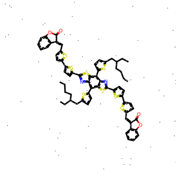 CCCCC(CC)Cc1ccc(-c2c3nc(-c4ccc(-c5ccc(/C=C6/C(=O)Oc7ccccc76)s5)s4)sc3c(-c3ccc(CC(CC)CCCC)s3)c3nc(-c4ccc(-c5ccc(/C=C6\C(=O)Oc7ccccc76)s5)s4)sc23)s1